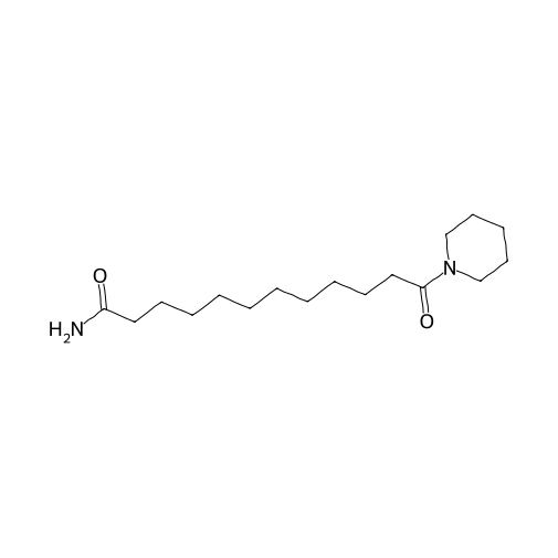 NC(=O)CCCCCCCCCCC(=O)N1CCCCC1